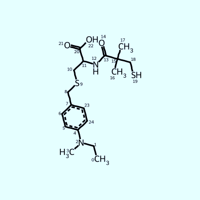 CCN(C)c1ccc(CSCC(NC(=O)C(C)(C)CS)C(=O)O)cc1